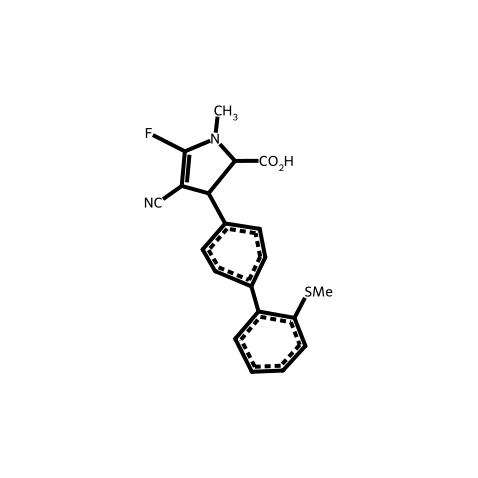 CSc1ccccc1-c1ccc(C2C(C#N)=C(F)N(C)C2C(=O)O)cc1